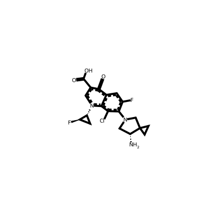 N[C@@H]1CN(c2c(F)cc3c(=O)c(C(=O)O)cn([C@@H]4C[C@H]4F)c3c2Cl)CC12CC2